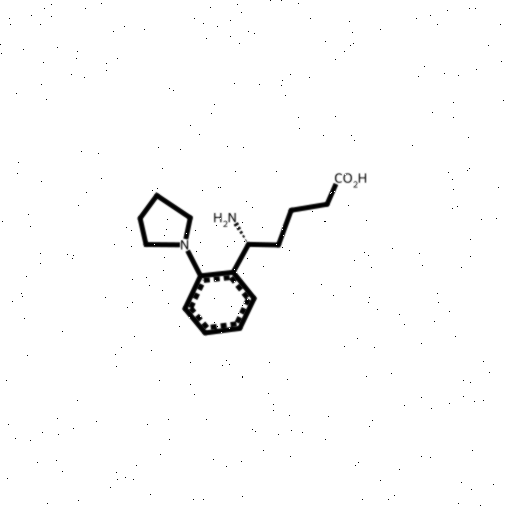 N[C@H](CCCC(=O)O)c1ccccc1N1CCCC1